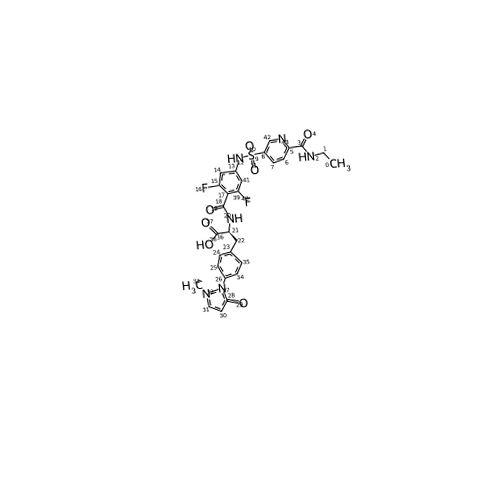 CCNC(=O)c1ccc(S(=O)(=O)Nc2cc(F)c(C(=O)N[C@@H](Cc3ccc(-n4c(=O)ccn4C)cc3)C(=O)O)c(F)c2)cn1